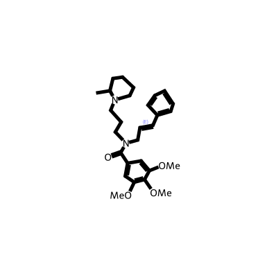 COc1cc(C(=O)N(C/C=C/c2ccccc2)CCCN2CCCCC2C)cc(OC)c1OC